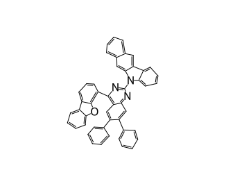 c1ccc(-c2cc3nc(-n4c5ccccc5c5cc6ccccc6cc54)nc(-c4cccc5c4oc4ccccc45)c3cc2-c2ccccc2)cc1